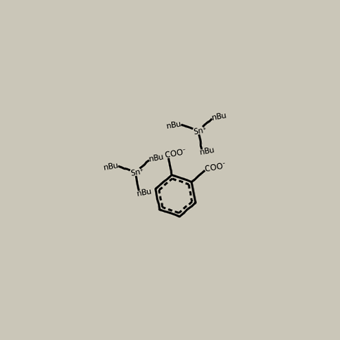 CCC[CH2][Sn+]([CH2]CCC)[CH2]CCC.CCC[CH2][Sn+]([CH2]CCC)[CH2]CCC.O=C([O-])c1ccccc1C(=O)[O-]